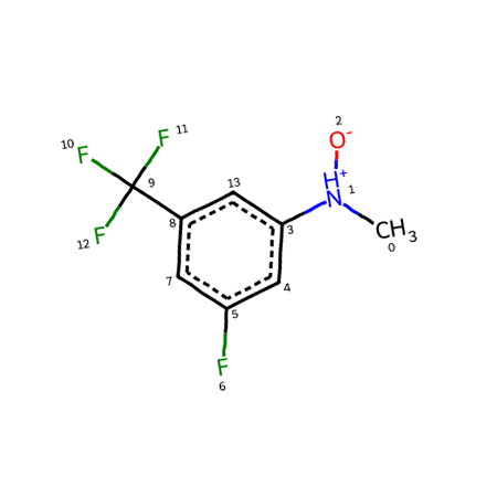 C[NH+]([O-])c1cc(F)cc(C(F)(F)F)c1